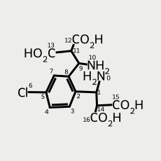 NC(c1ccc(Cl)cc1C(N)C(C(=O)O)C(=O)O)C(C(=O)O)C(=O)O